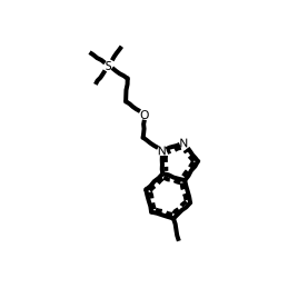 Cc1ccc2c(cnn2COCCS(C)(C)C)c1